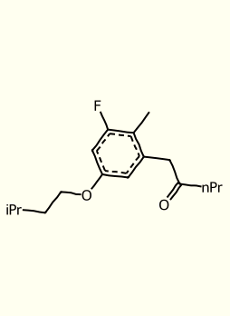 CCCC(=O)Cc1cc(OCCC(C)C)cc(F)c1C